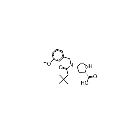 COc1cccc(CN(C(=O)CC(C)(C)C)[C@@H]2CN[C@H](C(=O)O)C2)c1